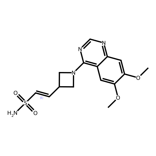 COc1cc2ncnc(N3CC(/C=C/S(N)(=O)=O)C3)c2cc1OC